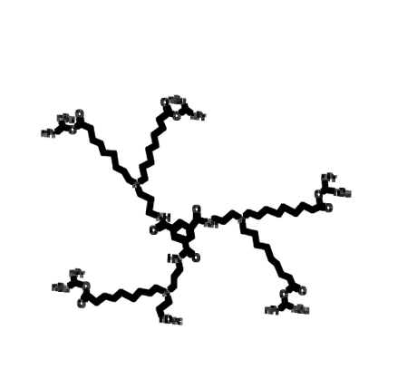 CCCCCCCCCCCCN(CCCCCCCCC(=O)OC(CCC)CCCC)CCCNC(=O)c1cc(C(=O)NCCCN(CCCCCCCCC(=O)OC(CCC)CCCC)CCCCCCCCC(=O)OC(CCC)CCCC)cc(C(=O)NCCCN(CCCCCCCCC(=O)OC(CCC)CCCC)CCCCCCCCC(=O)OC(CCC)CCCC)c1